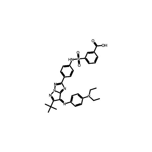 CCN(CC)c1ccc(/N=C2/C(C(C)(C)C)=Nn3nc(-c4ccc(NS(=O)(=O)c5cccc(C(=O)O)c5)cc4)nc32)cc1